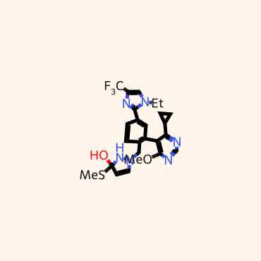 CCn1cc(C(F)(F)F)nc1-c1ccc(CN2C=CC(O)(SC)N2)c(-c2c(OC)ncnc2C2CC2)c1